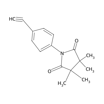 C#Cc1ccc(N2C(=O)C(C)(C)C(C)(C)C2=O)cc1